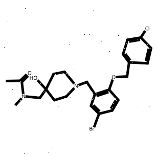 CC(=O)N(C)CC1(O)CCN(Cc2cc(Br)ccc2OCc2ccc(Cl)cc2)CC1